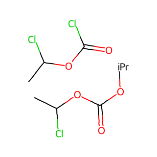 CC(C)OC(=O)OC(C)Cl.CC(Cl)OC(=O)Cl